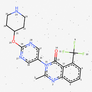 Cc1nc2cccc(C(F)(F)F)c2c(=O)n1-c1cnc(OC2CCNCC2)nc1